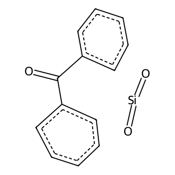 O=C(c1ccccc1)c1ccccc1.O=[Si]=O